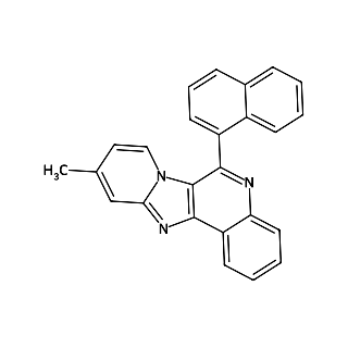 Cc1ccn2c(c1)nc1c3ccccc3nc(-c3cccc4ccccc34)c12